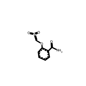 NC(=O)c1ccccc1OC=S(=O)=O